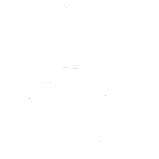 COc1cc(-c2oncc2-c2ccc3ccncc3c2)cc(C)c1C